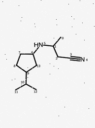 CC(CC#N)NC1CCC(C(C)C)C1